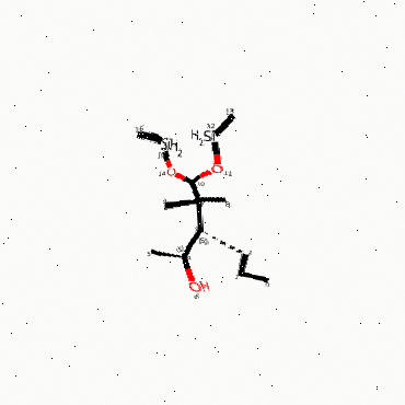 CCC[C@H]([C@H](C)O)C(C)(C)C(O[SiH2]C)O[SiH2]C